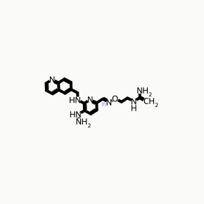 C=C(N)NCCO/N=C/c1ccc(NN)c(NCc2ccc3ncccc3c2)n1